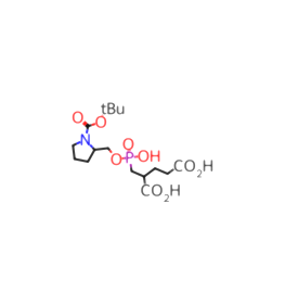 CC(C)(C)OC(=O)N1CCCC1COP(=O)(O)CC(CCC(=O)O)C(=O)O